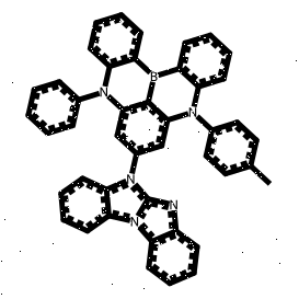 Cc1ccc(N2c3ccccc3B3c4ccccc4N(c4ccccc4)c4cc(-n5c6ccccc6n6c7ccccc7nc56)cc2c43)cc1